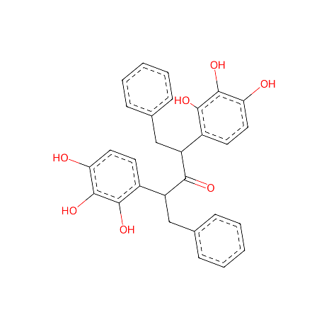 O=C(C(Cc1ccccc1)c1ccc(O)c(O)c1O)C(Cc1ccccc1)c1ccc(O)c(O)c1O